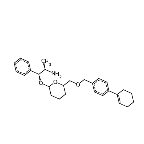 C[C@@H](N)[C@@H](OC1CCCC(COCc2ccc(C3=CCCCC3)cc2)O1)c1ccccc1